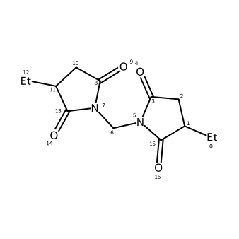 CCC1CC(=O)N(CN2C(=O)CC(CC)C2=O)C1=O